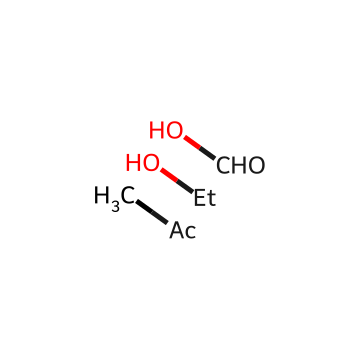 CC(C)=O.CCO.O=CO